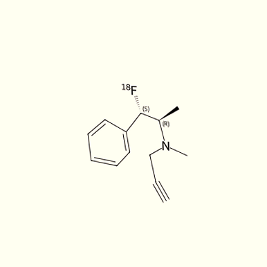 C#CCN(C)[C@H](C)[C@@H]([18F])c1ccccc1